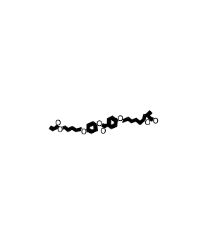 C=CC(=O)OCCCCCOc1ccc(OC(=O)c2ccc(OCCCCCC3CC(=C)C(=O)O3)cc2)cc1